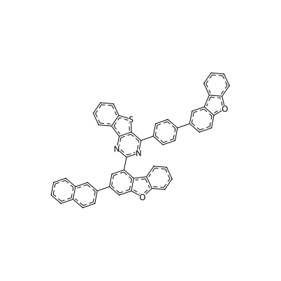 c1ccc2cc(-c3cc(-c4nc(-c5ccc(-c6ccc7oc8ccccc8c7c6)cc5)c5sc6ccccc6c5n4)c4c(c3)oc3ccccc34)ccc2c1